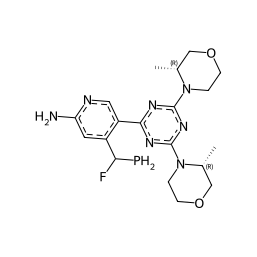 C[C@@H]1COCCN1c1nc(-c2cnc(N)cc2C(F)P)nc(N2CCOC[C@H]2C)n1